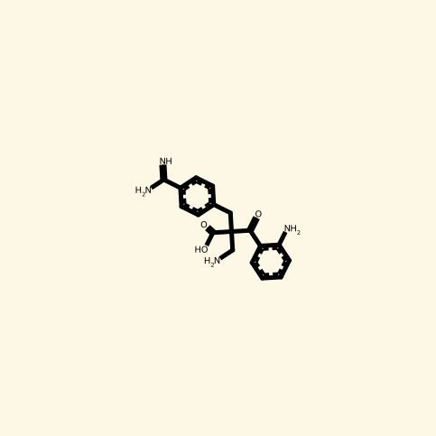 N=C(N)c1ccc(CC(CN)(C(=O)O)C(=O)c2ccccc2N)cc1